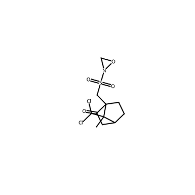 CC1(C(Cl)Cl)C2CCC1(CS(=O)(=O)N1CO1)C(=O)C2